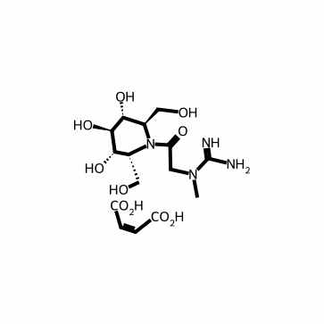 CN(CC(=O)N1[C@H](CO)[C@H](O)[C@@H](O)[C@H](O)[C@H]1CO)C(=N)N.O=C(O)/C=C\C(=O)O